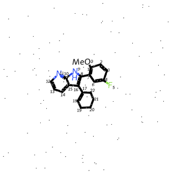 COc1ccc(F)cc1-c1[nH]c2ncccc2c1C1=CCCCC1